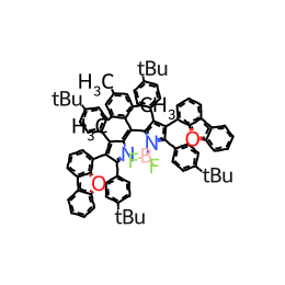 Cc1cc(C)c(/C(=C2/N=C(c3ccc(C(C)(C)C)cc3)C(c3cccc4c3oc3ccccc34)=C2c2ccc(C(C)(C)C)cc2)c2c(-c3ccc(C(C)(C)C)cc3)c(-c3cccc4c3oc3ccccc34)c(-c3ccc(C(C)(C)C)cc3)n2B(F)F)c(C)c1